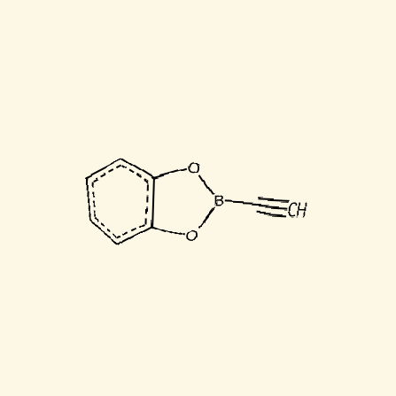 C#CB1Oc2ccccc2O1